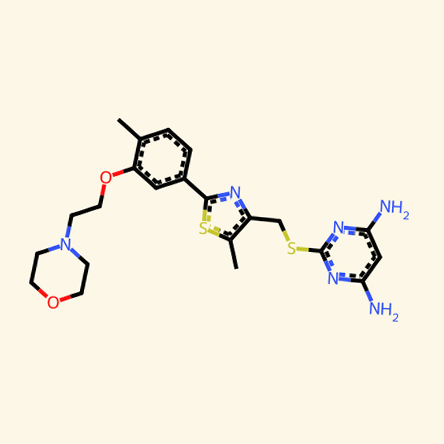 Cc1ccc(-c2nc(CSc3nc(N)cc(N)n3)c(C)s2)cc1OCCN1CCOCC1